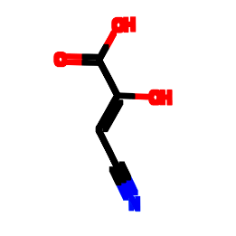 N#CC=C(O)C(=O)O